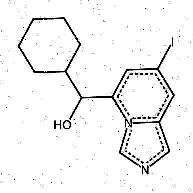 OC(c1cc(I)cc2cncn12)C1CCCCC1